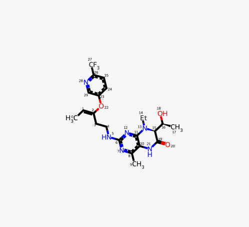 C/C=C(\CCNc1nc(C)c2c(n1)N(CC)[C@@H]([C@H](C)O)C(=O)N2)Oc1ccc(C(F)(F)F)nc1